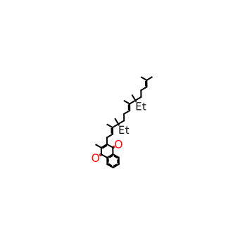 CCC(C)(CCC=C(C)C)/C(C)=C/CCC(C)(CC)/C(C)=C/CC1=C(C)C(=O)c2ccccc2C1=O